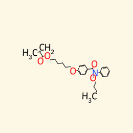 C=C(C)C(=O)OCCCCCCOc1ccc(C(=O)N(OCCCC)c2ccccc2)cc1